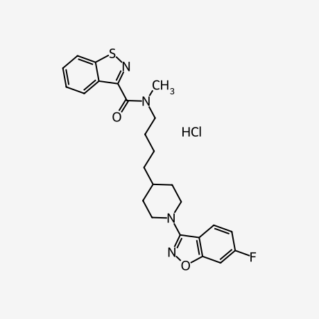 CN(CCCCC1CCN(c2noc3cc(F)ccc23)CC1)C(=O)c1nsc2ccccc12.Cl